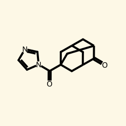 O=C1C2CC3CC1CC(C(=O)n1ccnc1)(C3)C2